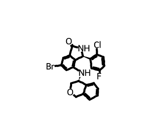 O=C1N[C@@H](c2cc(F)ccc2Cl)c2c(N[C@H]3COCc4ccccc43)cc(Br)cc21